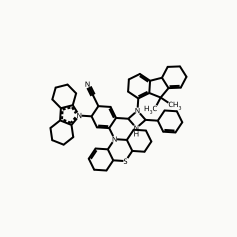 CC1(C)C2=CCCCC2C2=CCCC(N3C(C4=CC(C#N)C(n5c6c(c7c5CCCC7)CCCC6)C=C4N4C5C=CCCC5SC5CCCCC54)NC3C3C=CCCC3)=C21